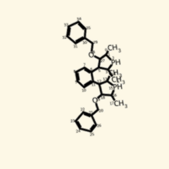 CC1PC(C)C(c2ccccc2C2C(C)PC(C)C2OCc2ccccc2)C1OCc1ccccc1